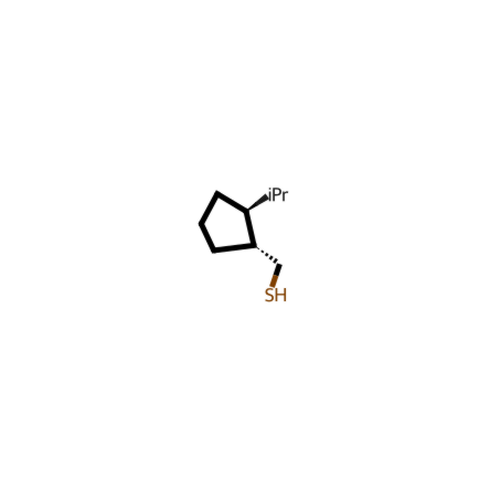 CC(C)[C@@H]1CCC[C@H]1CS